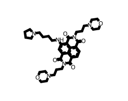 O=C1c2ccc3c4c(c(NCCCCN5CCCC5)cc(c24)C(=O)N1CCCN1CCOCC1)C(=O)N(CCCN1CCOCC1)C3=O